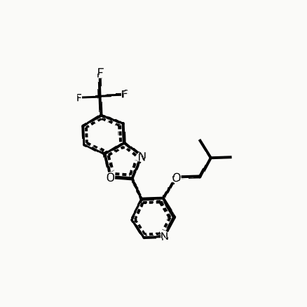 CC(C)COc1cnccc1-c1nc2cc(C(F)(F)F)ccc2o1